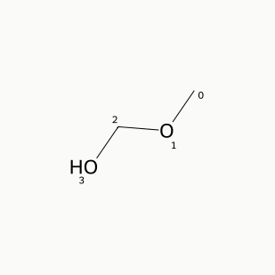 COCO